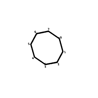 [CH]1CC[CH]CCCC1